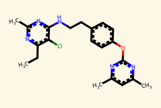 CCc1nc(C)nc(NCCc2ccc(Oc3nc(C)cc(C)n3)cc2)c1Cl